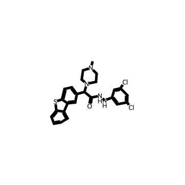 CN1CCN(C(C(=O)NNc2cc(Cl)cc(Cl)c2)c2ccc3sc4ccccc4c3c2)CC1